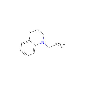 O=S(=O)(O)CN1CCCc2ccccc21